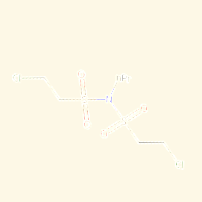 CCCN(S(=O)(=O)CCCl)S(=O)(=O)CCCl